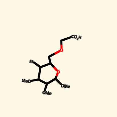 CCC1C(COCC(=O)O)OC(OC)C(OC)C1OC